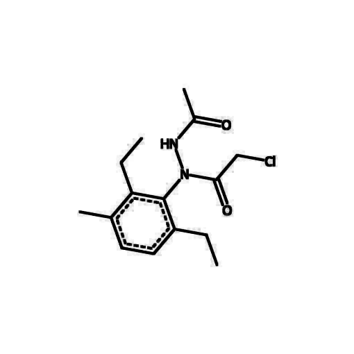 CCc1ccc(C)c(CC)c1N(NC(C)=O)C(=O)CCl